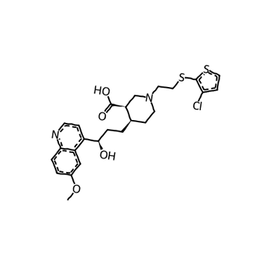 COc1ccc2nccc([C@H](O)CC[C@@H]3CCN(CCSc4sccc4Cl)C[C@@H]3C(=O)O)c2c1